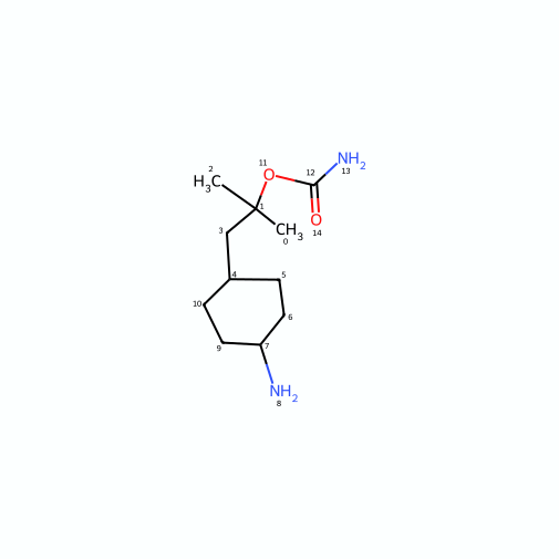 CC(C)(CC1CCC(N)CC1)OC(N)=O